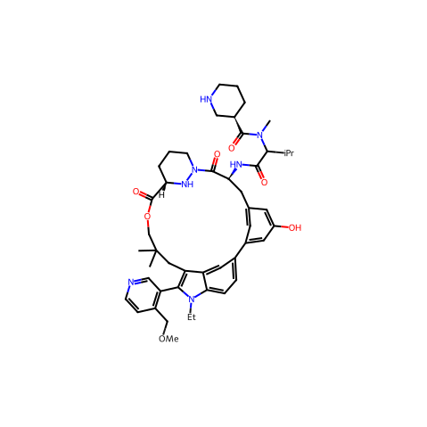 CCn1c(-c2cnccc2COC)c2c3cc(ccc31)-c1cc(O)cc(c1)C[C@H](NC(=O)C(C(C)C)N(C)C(=O)[C@@H]1CCCNC1)C(=O)N1CCC[C@H](N1)C(=O)OCC(C)(C)C2